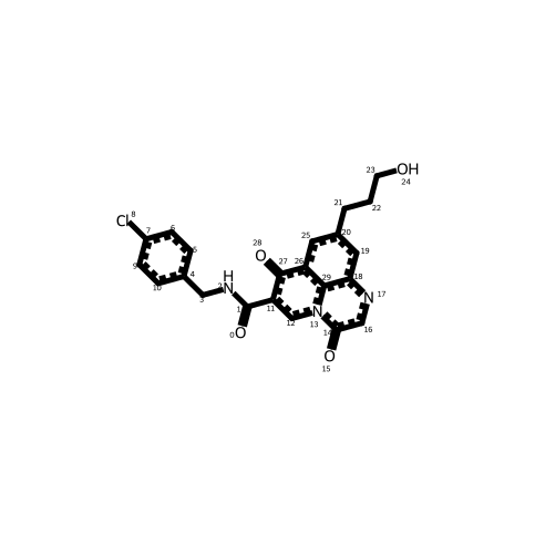 O=C(NCc1ccc(Cl)cc1)c1cn2c(=O)cnc3cc(CCCO)cc(c1=O)c32